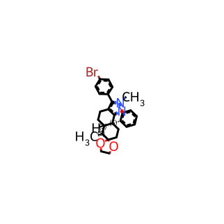 C[C@H]1[C@@H]2CCc3c(nn(C)c3-c3ccc(Br)cc3)[C@@]2(c2ccccc2)CCC12OCCO2